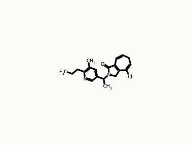 Cc1cc(C(C)N2CC3=C(C=CCC=C3Cl)C2=O)cnc1CCC(F)(F)F